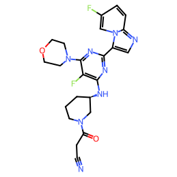 N#CCC(=O)N1CCC[C@@H](Nc2nc(-c3cnc4ccc(F)cn34)nc(N3CCOCC3)c2F)C1